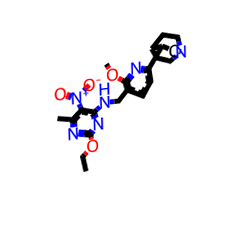 CCOc1nc(C)c([N+](=O)[O-])c(NCc2ccc(C3CN4CCC3CC4)nc2OC)n1